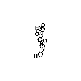 O=C1CCC(N2Cc3c(ccc(N4CCN(CC5CCNCC5)CC4)c3Cl)C2=O)C(=O)N1